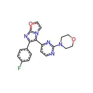 Fc1ccc(-c2nc3occn3c2-c2ccnc(N3CCOCC3)n2)cc1